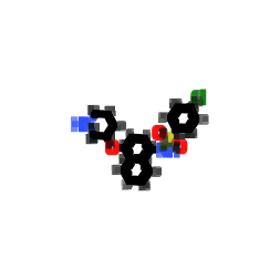 O=S(=O)(Nc1ccc(OC2CCCNC2)c2ccccc12)c1ccc(Cl)cc1